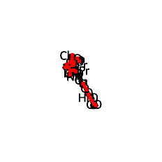 Cc1ccc(C(=O)N(CCCN(C(=O)[C@@H](NC(=O)CCOCCOCCOCCOCCNC(=O)CCN2C(=O)C=CC2=O)C(C)C)[C@@H](C)C(N)=O)[C@@H](c2nc3cc(Cl)ccc3c(=O)n2Cc2ccccc2)C(C)C)cc1